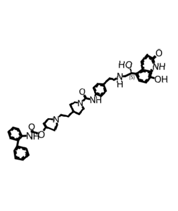 O=C(Nc1ccccc1-c1ccccc1)OC1CCN(CCC2CCN(C(=O)Nc3ccc(CCNC[C@@H](O)c4ccc(O)c5[nH]c(=O)ccc45)cc3)CC2)CC1